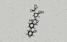 NC(=O)[C@H]1C[C@@H](C(=O)Nc2ccc(-n3ccncc3=O)cc2F)C[C@@H]1O